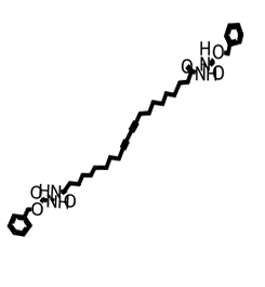 O=C(CCCCCCCCC#CC#CCCCCCCCCC(=O)NNC(=O)OCc1ccccc1)NNC(=O)OCc1ccccc1